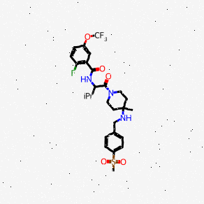 CC(C)C(NC(=O)c1cc(OC(F)(F)F)ccc1F)C(=O)N1CCC(C)(NCc2ccc(S(C)(=O)=O)cc2)CC1